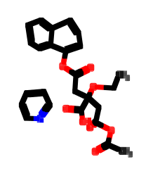 CCOC(CC(=O)OC(C)=O)(CC(=O)Oc1cccc2ccccc12)C(=O)O.c1ccncc1